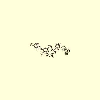 CCC(=O)N1CCC(c2nccc(-c3cc(-n4c(C)cc(OCc5ncc(F)cc5F)c(Cl)c4=O)c(C)cn3)n2)C1